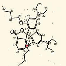 CCCCOc1cc(N(CC)CC)ccc1C1(c2ccc(N(CC)CC)cc2OCCCC)OC(=O)c2cccnc21